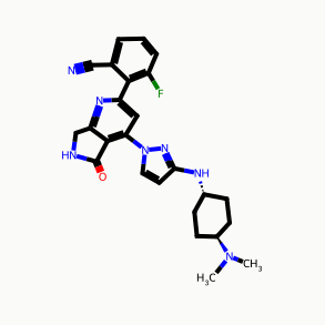 CN(C)[C@H]1CC[C@H](Nc2ccn(-c3cc(-c4c(F)cccc4C#N)nc4c3C(=O)NC4)n2)CC1